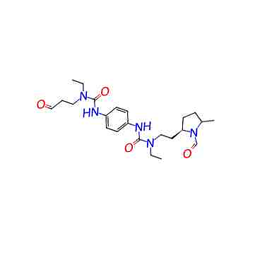 CCN(CCC=O)C(=O)Nc1ccc(NC(=O)N(CC)CC[C@H]2CCC(C)N2C=O)cc1